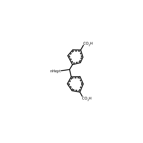 CCCCCCCC(c1ccc(C(=O)O)cc1)c1ccc(C(=O)O)cc1